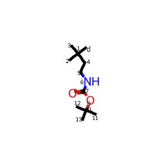 [CH2]C(C)(C)CCNC(=O)OC(C)(C)C